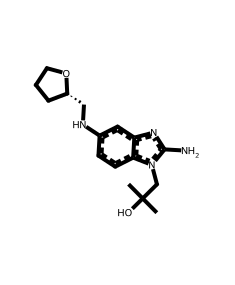 CC(C)(O)Cn1c(N)nc2cc(NC[C@@H]3CCCO3)ccc21